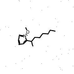 CCCCCCC(C)c1cccc[n+]1OC